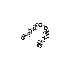 CC1(OC(=O)COc2cc(I)c(OC(=O)Oc3ccc([I+]c4ccc(OC(=O)Oc5cc(I)c(OCC(=O)OC6(C)C7CC8CC(C7)CC6C8)cc5I)cc4)cc3)cc2I)C2CC3CC(C2)CC1C3